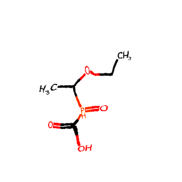 CCOC(C)[PH](=O)C(=O)O